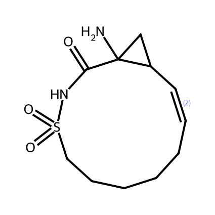 NC12CC1/C=C\CCCCCS(=O)(=O)NC2=O